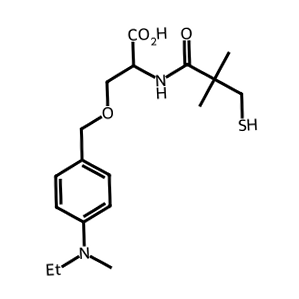 CCN(C)c1ccc(COCC(NC(=O)C(C)(C)CS)C(=O)O)cc1